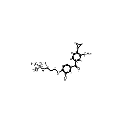 COc1nc(C(=O)c2ccc(OCCCO[Si](C)(C)C(C)(C)C)c(Cl)c2)ccc1C1CC1